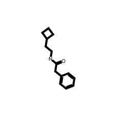 O=C(Cc1ccccc1)[N]CCC1CCC1